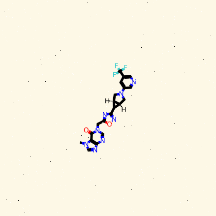 Cn1cnc2ncn(Cc3nc(C4[C@H]5CN(c6cncc(C(F)(F)F)c6)C[C@@H]45)no3)c(=O)c21